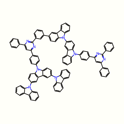 c1ccc(-c2cc(-c3ccc(-n4c5ccccc5c5cc(-n6c7ccccc7c7cc(-c8cccc(-c9nc(-c%10ccccc%10)cc(-c%10ccc(-n%11c%12ccc(-n%13c%14ccccc%14c%14ccccc%14%13)cc%12c%12cc(-n%13c%14ccccc%14c%14ccccc%14%13)ccc%12%11)cc%10)n9)c8)ccc76)ccc54)cc3)nc(-c3ccccc3)n2)cc1